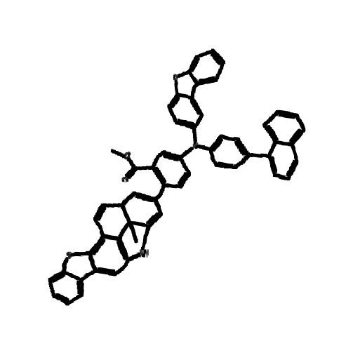 COC(=O)c1cc(N(c2ccc(-c3cccc4ccccc34)cc2)c2ccc3oc4ccccc4c3c2)ccc1C1=CC2C=Cc3c4c(cc5c3sc3ccccc35)NC(=C1)C42C